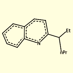 CCCC(CC)c1ccc2ccccc2n1